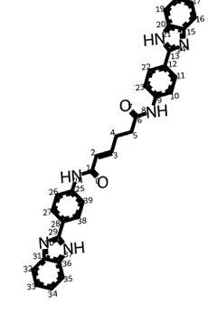 O=C(C=CCCC(=O)Nc1ccc(-c2nc3ccccc3[nH]2)cc1)Nc1ccc(-c2nc3ccccc3[nH]2)cc1